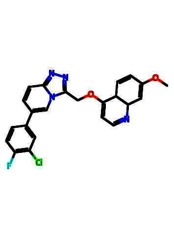 COC1=CC2N=CC=C(OCc3nnc4ccc(-c5ccc(F)c(Cl)c5)cn34)C2C=C1